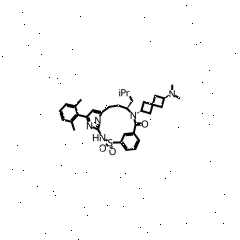 Cc1cccc(C)c1-c1cc2nc(n1)NS(=O)(=O)c1cccc(c1)C(=O)N([C@H]1CC3(C[C@H](N(C)C)C3)C1)[C@H](CC(C)C)CC2